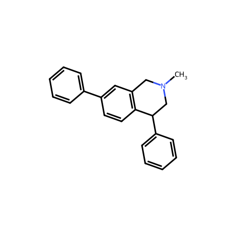 CN1Cc2cc(-c3ccccc3)ccc2C(c2ccccc2)C1